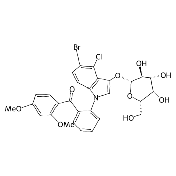 COc1ccc(C(=O)c2ccccc2-n2cc(O[C@H]3O[C@@H](CO)[C@@H](O)[C@@H](O)[C@@H]3O)c3c(Cl)c(Br)ccc32)c(OC)c1